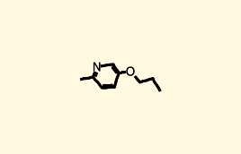 CCCOc1ccc(C)nc1